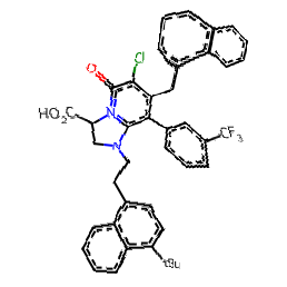 CC(C)(C)c1ccc(CCN2CC(C(=O)O)n3c2c(-c2cccc(C(F)(F)F)c2)c(Cc2cccc4ccccc24)c(Cl)c3=O)c2ccccc12